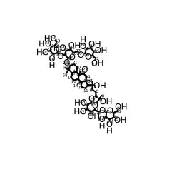 CC(C)(O)C(CCC(C)(O)C1CCC2(C)C3CC=C4C(CCC(OC5OC(COC6OC(CO)C(O)C(O)C6O)C(O)C(O)C5OC5OC(CO)C(O)C(O)C5O)C4(C)C)C3(C)C(=O)CC12C)OC1OC(COC2OC(CO)C(O)C(O)C2O)C(O)C(O)C1O